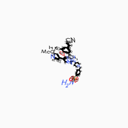 COc1cc(-c2cnc(NC3CCN(Cc4ccc(S(N)(=O)=O)cc4)CC3)nc2Oc2c(C)cc(/C=C/C#N)cc2C)ccn1